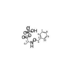 CC(NOCc1ccccc1)C(=O)OP(=O)(O)Cl